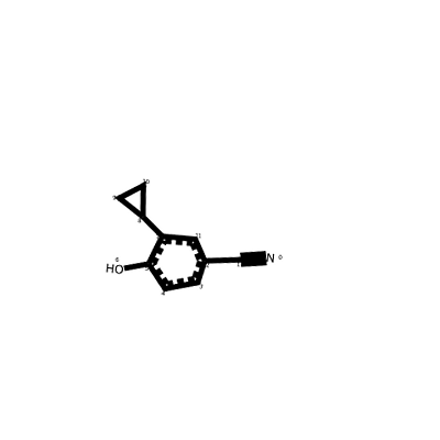 N#Cc1ccc(O)c(C2CC2)c1